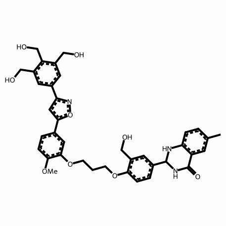 COc1ccc(-c2cc(-c3cc(CO)c(CO)c(CO)c3)no2)cc1OCCCOc1ccc(C2NC(=O)c3cc(C)ccc3N2)cc1CO